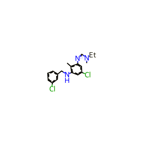 CCN(C)/C=N\c1cc(Cl)cc(NCc2cccc(Cl)c2)c1C